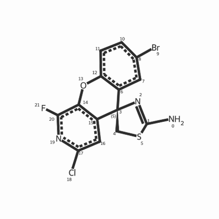 NC1=N[C@@]2(CS1)c1cc(Br)ccc1Oc1c2cc(Cl)nc1F